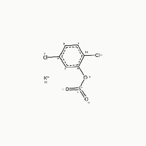 O=[S-](=O)Oc1cc(Cl)ccc1Cl.[K+]